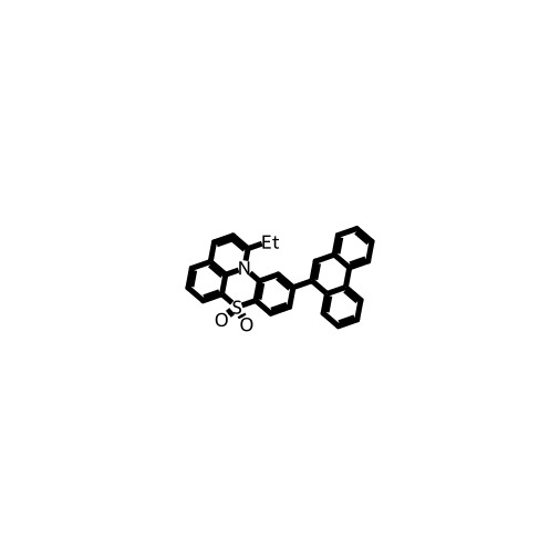 CCC1=C=Cc2cccc3c2N1c1cc(-c2cc4ccccc4c4ccccc24)ccc1S3(=O)=O